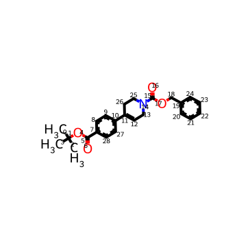 CC(C)(C)OC(=O)c1ccc(C2=CCN(C(=O)OCc3ccccc3)CC2)cc1